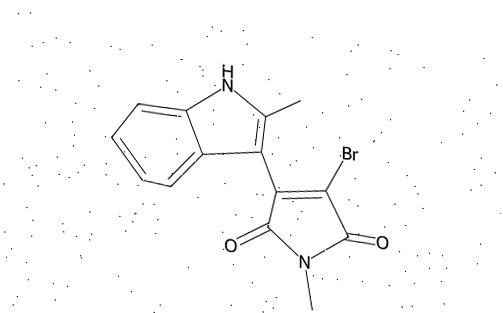 Cc1[nH]c2ccccc2c1C1=C(Br)C(=O)N(C)C1=O